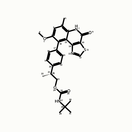 COc1cc(C)c2[nH]c(=O)c3scnc3c2c1-c1ccc([C@@H](C)COC(=O)NC(C)(C)C)cc1